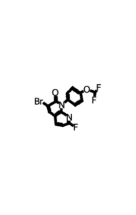 O=c1c(Br)cc2ccc(F)nc2n1-c1ccc(OC(F)F)cc1